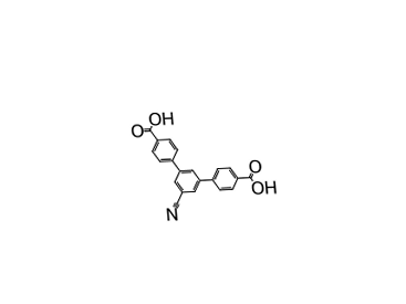 N#Cc1cc(-c2ccc(C(=O)O)cc2)cc(-c2ccc(C(=O)O)cc2)c1